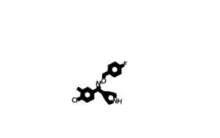 Cc1cc(C(=NOCc2ccc(F)cc2)C2C3CNCC32)ccc1Cl